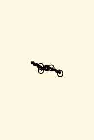 CCCCCOC(=O)c1ccc(OCCC[C]=O)cc1